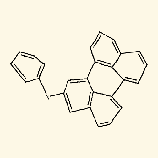 c1ccc([N]c2cc3cccc4c5cccc6cccc(c(c2)c34)c65)cc1